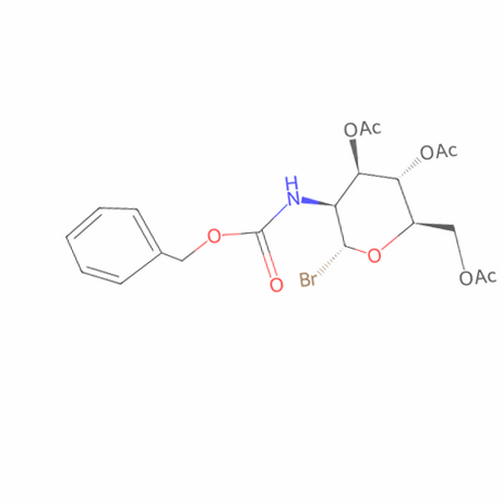 CC(=O)OC[C@H]1O[C@H](Br)[C@@H](NC(=O)OCc2ccccc2)[C@@H](OC(C)=O)[C@@H]1OC(C)=O